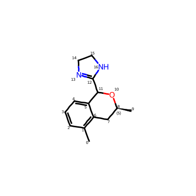 Cc1cccc2c1C[C@H](C)OC2C1=NCCN1